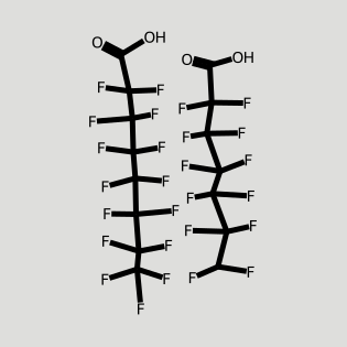 O=C(O)C(F)(F)C(F)(F)C(F)(F)C(F)(F)C(F)(F)C(F)(F)C(F)(F)F.O=C(O)C(F)(F)C(F)(F)C(F)(F)C(F)(F)C(F)(F)C(F)F